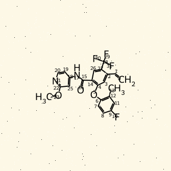 C=Cc1cc(Oc2ccc(F)cc2C)c(C(=O)Nc2ccnc(OC)c2)cc1C(F)(F)F